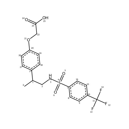 CC(CNS(=O)(=O)c1ccc(C(F)(F)F)cc1)c1ccc(OCC(=O)O)cc1